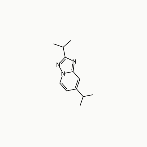 CC(C)c1ccn2nc(C(C)C)nc2c1